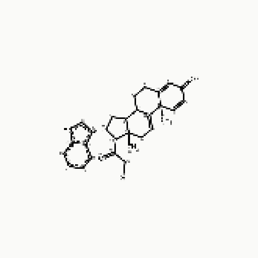 C[C@]12C=CC(=O)C=C1CCC1C2=CC[C@@]2(C)C1C[C@@H](c1c[nH]c3ccccc13)[C@@H]2C(=O)CO